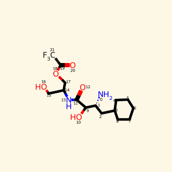 N[C@H](CC1CCCCC1)C(O)C(=O)NC(CO)COC(=O)C(F)(F)F